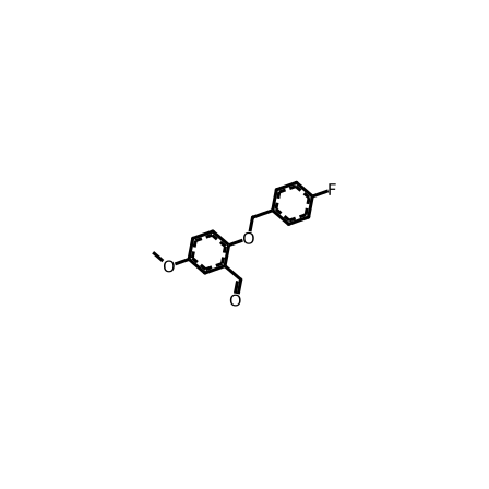 COc1ccc(OCc2ccc(F)cc2)c(C=O)c1